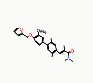 COc1cc(-c2cc(C)c(/C=C(\C)C(=O)N(C)C)cc2C)ccc1OCc1ccco1